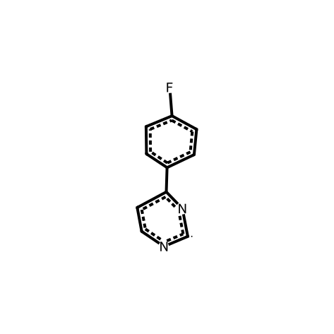 Fc1ccc(-c2ccn[c]n2)cc1